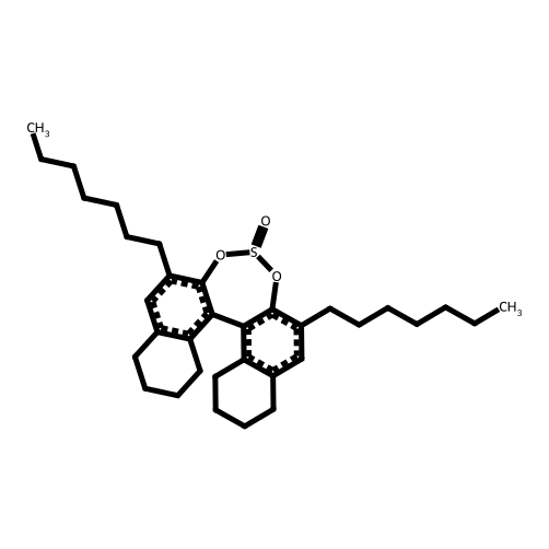 CCCCCCCc1cc2c(c3c1OS(=O)Oc1c(CCCCCCC)cc4c(c1-3)CCCC4)CCCC2